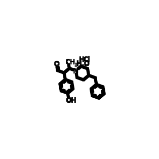 CC(C(C=O)c1ccc(O)cc1)N1CCC(Cc2ccccc2)CC1.Cl.O